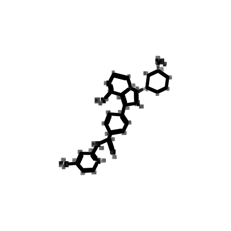 Nc1nccn2c([C@H]3CCC[C@@H](N)C3)nc(-c3ccc(C(=O)Nc4cc(C(F)(F)F)ccn4)cc3)c12